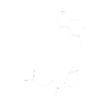 O=C(NCC1CCOC1)c1cc(COCc2ccc3ccccc3c2F)on1